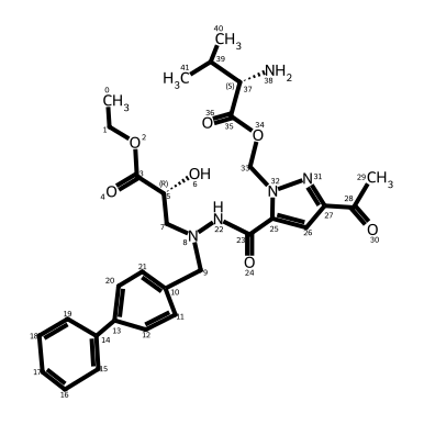 CCOC(=O)[C@H](O)CN(Cc1ccc(-c2ccccc2)cc1)NC(=O)c1cc(C(C)=O)nn1COC(=O)[C@@H](N)C(C)C